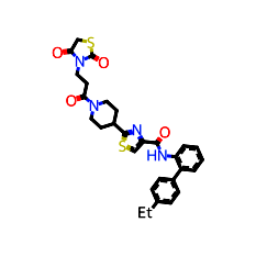 CCc1ccc(-c2ccccc2NC(=O)c2csc(C3CCN(C(=O)CCN4C(=O)CSC4=O)CC3)n2)cc1